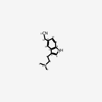 CN(C)CCc1c[nH]c2ccc(CC#N)cc12